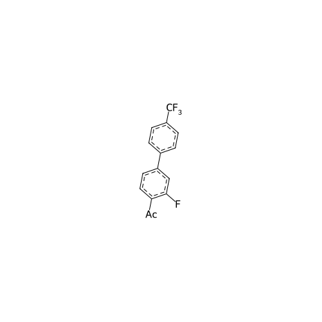 CC(=O)c1ccc(-c2ccc(C(F)(F)F)cc2)cc1F